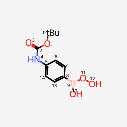 CC(C)(C)OC(=O)Nc1ccc(B(O)OO)cc1